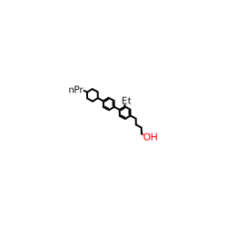 CCCC1CCC(c2ccc(-c3ccc(CCCCO)cc3CC)cc2)CC1